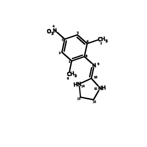 Cc1cc([N+](=O)[O-])cc(C)c1N=C1NCCN1